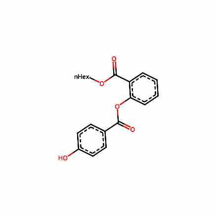 CCCCCCOC(=O)c1ccccc1OC(=O)c1ccc(O)cc1